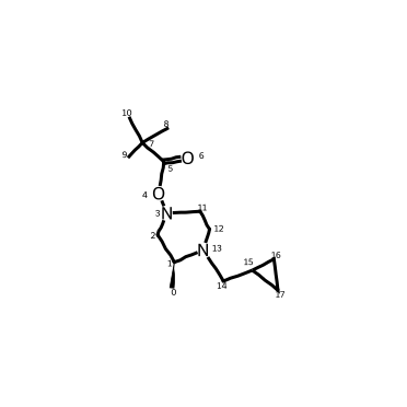 C[C@H]1CN(OC(=O)C(C)(C)C)CCN1CC1CC1